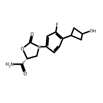 NC(=O)[C@H]1CN(c2ccc(C3CC(O)C3)c(F)c2)C(=O)O1